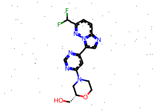 OC[C@@H]1CN(c2cc(-c3cnc4ccc(C(F)F)nn34)ncn2)CCO1